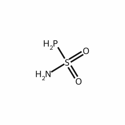 NS(=O)(=O)P